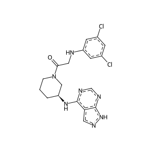 O=C(CNc1cc(Cl)cc(Cl)c1)N1CCC[C@H](Nc2ncnc3[nH]ncc23)C1